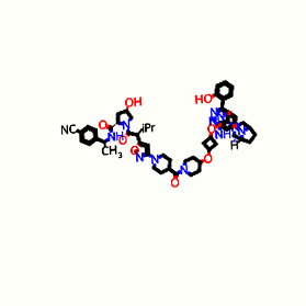 CC(C)[C@H](C(=O)N1C[C@H](O)C[C@H]1C(=O)N[C@@H](C)c1ccc(C#N)cc1)c1cc(N2CCC(C(=O)N3CCC(OC4CC(Oc5cc(N6C7CC[C@@H]6CN(c6cc(-c8ccccc8O)nnc6N)C7)ccn5)C4)CC3)CC2)no1